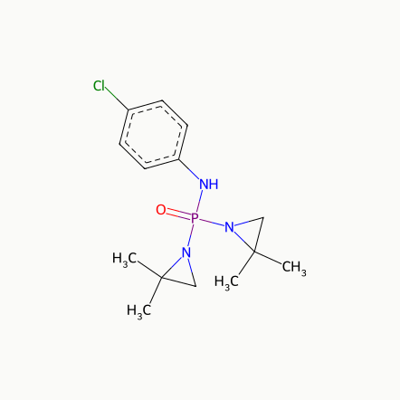 CC1(C)CN1P(=O)(Nc1ccc(Cl)cc1)N1CC1(C)C